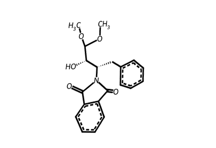 COC(OC)[C@@H](O)[C@H](Cc1ccccc1)N1C(=O)c2ccccc2C1=O